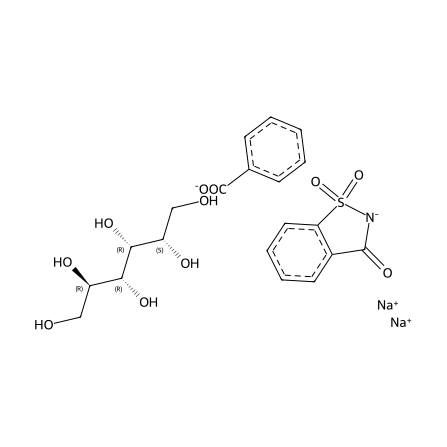 O=C([O-])c1ccccc1.O=C1[N-]S(=O)(=O)c2ccccc21.OC[C@@H](O)[C@@H](O)[C@H](O)[C@@H](O)CO.[Na+].[Na+]